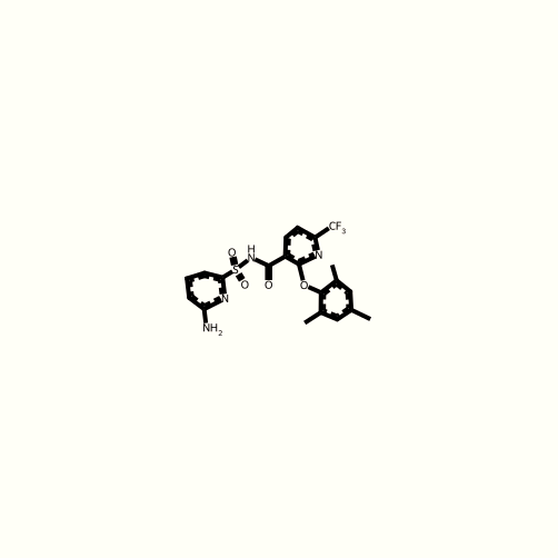 Cc1cc(C)c(Oc2nc(C(F)(F)F)ccc2C(=O)NS(=O)(=O)c2cccc(N)n2)c(C)c1